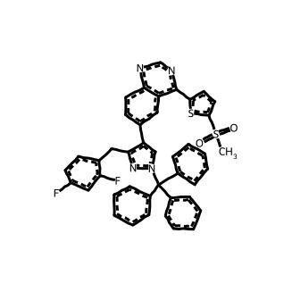 CS(=O)(=O)c1ccc(-c2ncnc3ccc(-c4cn(C(c5ccccc5)(c5ccccc5)c5ccccc5)nc4Cc4ccc(F)cc4F)cc23)s1